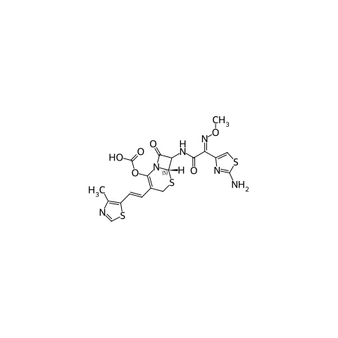 CON=C(C(=O)NC1C(=O)N2C(OC(=O)O)=C(C=Cc3scnc3C)CS[C@@H]12)c1csc(N)n1